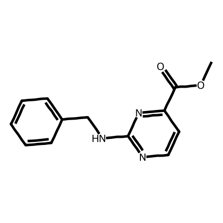 COC(=O)c1ccnc(NCc2ccccc2)n1